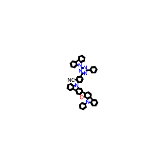 N#Cc1cc(-c2nc(-c3ccccc3)nc(-n3c4ccccc4c4ccccc43)n2)ccc1-n1c2ccccc2c2cc3oc4c(ccc5c6ccccc6n(-c6ccccc6)c54)c3cc21